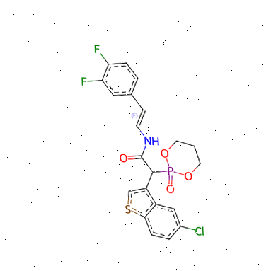 O=C(N/C=C/c1ccc(F)c(F)c1)C(c1csc2ccc(Cl)cc12)P1(=O)OCCCO1